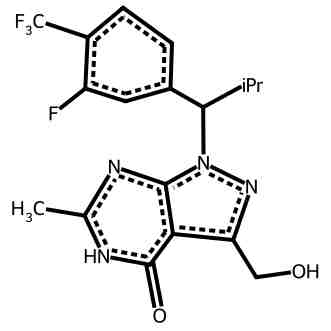 Cc1nc2c(c(CO)nn2C(c2ccc(C(F)(F)F)c(F)c2)C(C)C)c(=O)[nH]1